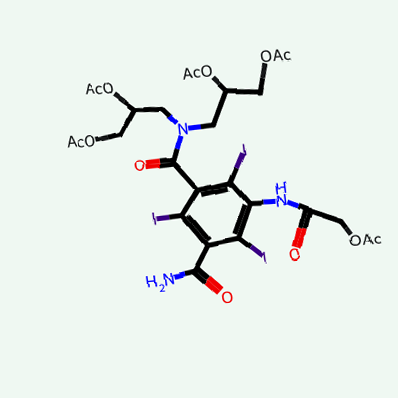 CC(=O)OCC(=O)Nc1c(I)c(C(N)=O)c(I)c(C(=O)N(CC(COC(C)=O)OC(C)=O)CC(COC(C)=O)OC(C)=O)c1I